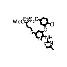 CCOC(=O)c1ccc(Cl)c(Oc2cc(SCCC(=O)OC)cnc2Nc2nc(C)cs2)c1